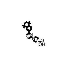 CC1(C)CCC(C)(C)c2cc(-c3cncc(N4CCN(C(=O)O)CC4)n3)ccc21